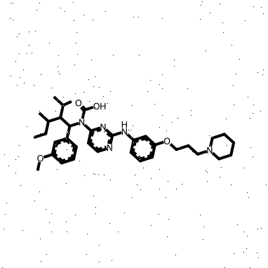 CCC(C)C(C(C)C)C(c1cccc(OC)c1)N(C(=O)O)c1ccnc(Nc2cccc(OCCCN3CCCCC3)c2)n1